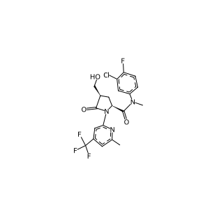 Cc1cc(C(F)(F)F)cc(N2C(=O)[C@@H](CO)C[C@H]2C(=O)N(C)c2ccc(F)c(Cl)c2)n1